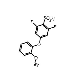 CC(C)Oc1ccccc1Oc1cc(F)c(S(=O)(=O)O)c(F)c1